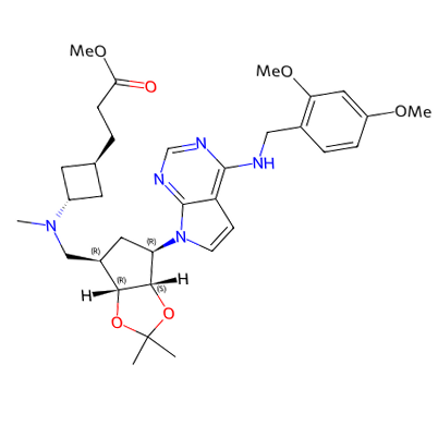 COC(=O)CC[C@H]1C[C@H](N(C)C[C@H]2C[C@@H](n3ccc4c(NCc5ccc(OC)cc5OC)ncnc43)[C@@H]3OC(C)(C)O[C@H]23)C1